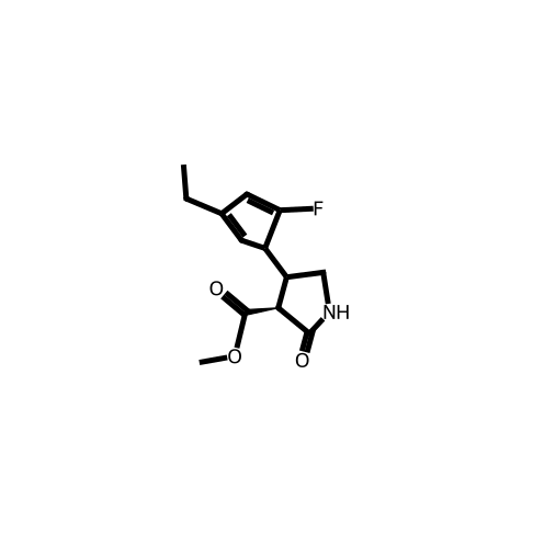 CCC1=CC(C2CNC(=O)[C@H]2C(=O)OC)C(F)=C1